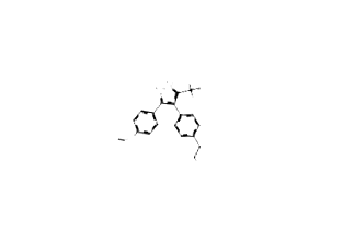 CSc1ccc(-c2[nH]nc(C(F)(F)F)c2-c2ccc(CCO)cc2)cc1